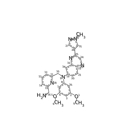 COc1cc(OC)cc(N(Cc2cccc(CN)n2)c2ccc3ncc(-c4cnn(C)c4)nc3c2)c1